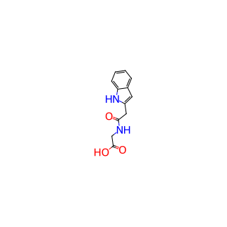 O=C(O)CNC(=O)Cc1cc2ccccc2[nH]1